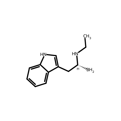 B[C@H](Cc1c[nH]c2ccccc12)NCC